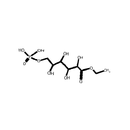 CCOC(=O)C(O)C(O)C(O)C(O)COP(=O)(O)O